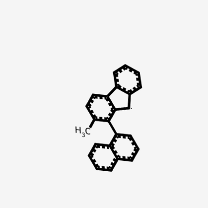 Cc1ccc2c(c1-c1cccc3ccccc13)[CH]c1ccccc1-2